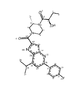 CC[C@@H](O)C(=O)N1CCN(C(=O)c2cn3nc(-c4ccc(F)cc4)cc(C(C)C)c3n2)C[C@@H]1C